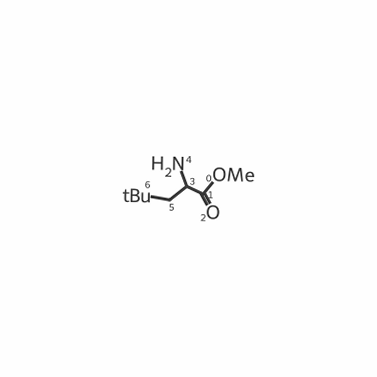 COC(=O)C(N)CC(C)(C)C